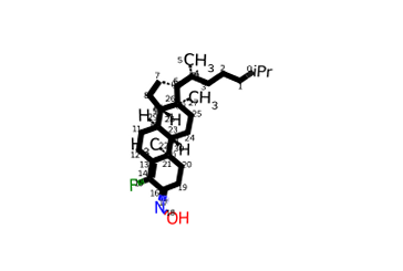 CC(C)CCC[C@@H](C)[C@H]1CC[C@H]2[C@@H]3CCC4=C(F)/C(=N/O)CC[C@]4(C)[C@H]3CC[C@]12C